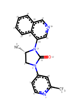 N#C[C@H]1CN(c2ccnc(C(F)(F)F)c2)C(=O)N1c1cncc2ccccc12